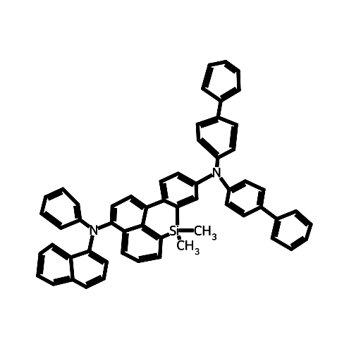 C[Si]1(C)c2cc(N(c3ccc(-c4ccccc4)cc3)c3ccc(-c4ccccc4)cc3)ccc2-c2ccc(N(c3ccccc3)c3cccc4ccccc34)c3cccc1c23